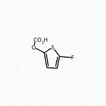 O=C(O)Oc1ccc(F)s1